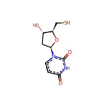 O=c1ccn([C@H]2C[C@H](O)[C@@H](CS)O2)c(=O)[nH]1